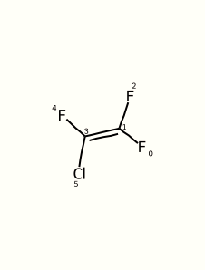 FC(F)=C(F)Cl